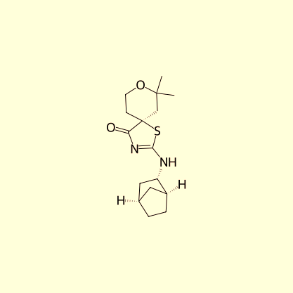 CC1(C)C[C@]2(CCO1)SC(N[C@H]1C[C@@H]3CC[C@H]1C3)=NC2=O